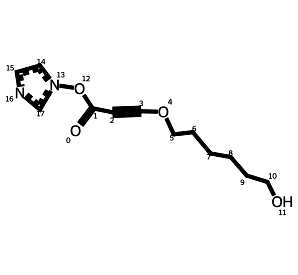 O=C(C#COCCCCCCO)On1ccnc1